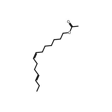 CCC=CCC/C=C\CCCCCCOC(C)=O